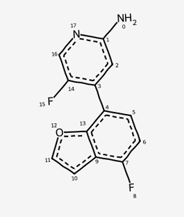 Nc1cc(-c2ccc(F)c3ccoc23)c(F)cn1